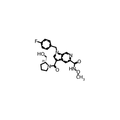 CONC(=O)c1cc2c(C(=O)N3CCC[C@@H]3CO)cn(Cc3ccc(F)cc3)c2cn1